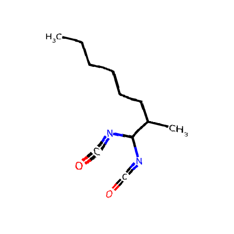 CCCCCCC(C)C(N=C=O)N=C=O